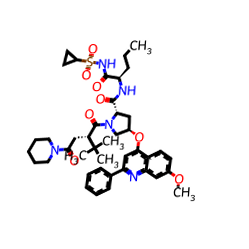 CCC[C@@H](NC(=O)[C@@H]1C[C@@H](Oc2cc(-c3ccccc3)nc3cc(OC)ccc23)CN1C(=O)[C@@H](CC(=O)N1CCCCC1)C(C)(C)C)C(=O)NS(=O)(=O)C1CC1